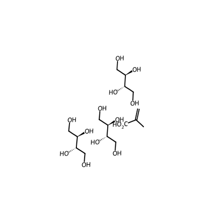 C=C(C)C(=O)O.OC[C@@H](O)[C@@H](O)CO.OC[C@@H](O)[C@@H](O)CO.OC[C@@H](O)[C@@H](O)CO